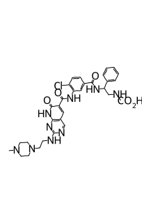 CN1CCN(CCNc2ncc3cc(C(=O)Nc4cc(C(=O)NC(CNC(=O)O)c5ccccc5)ccc4Cl)c(=O)[nH]c3n2)CC1